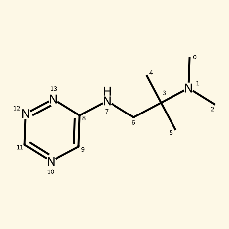 CN(C)C(C)(C)CNc1cncnn1